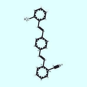 Cc1ccccc1/C=C/c1ccc(/C=C/c2ccccc2C#N)cc1